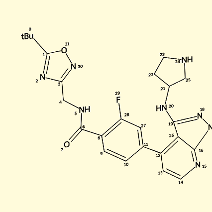 CC(C)(C)c1nc(CNC(=O)c2ccc(-c3ccnc4[nH]nc(NC5CCNC5)c34)cc2F)no1